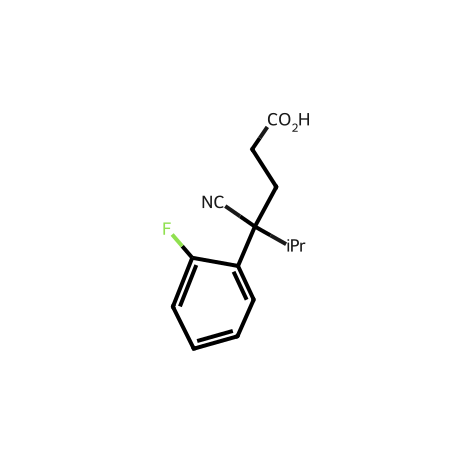 CC(C)C(C#N)(CCC(=O)O)c1ccccc1F